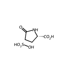 O=C1CC[C@@H](C(=O)O)N1.O=S(=O)(O)O